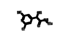 CC(C)(C)NC(=O)C(O)c1cc(Cl)nc(C#N)c1